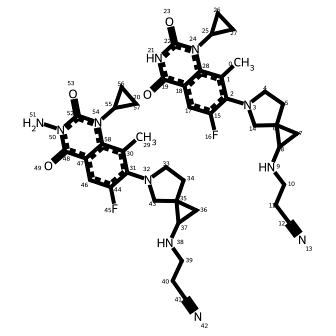 Cc1c(N2CCC3(CC3NCCC#N)C2)c(F)cc2c(=O)[nH]c(=O)n(C3CC3)c12.Cc1c(N2CCC3(CC3NCCC#N)C2)c(F)cc2c(=O)n(N)c(=O)n(C3CC3)c12